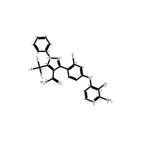 NC(=O)c1c(-c2ccc(Oc3ccnc(N)c3Cl)cc2F)nn(-c2ccccc2)c1C(F)(F)F